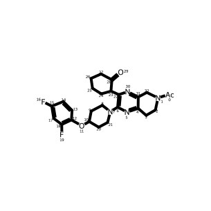 CC(=O)N1CCc2nc(N3CCC(Oc4ccc(F)cc4F)CC3)c(C3CCCCC3=O)nc2C1